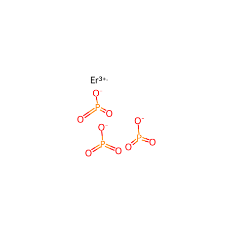 O=P(=O)[O-].O=P(=O)[O-].O=P(=O)[O-].[Er+3]